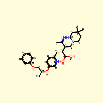 CC(=N)C(CN1CCC(C)(C)CC1)[C@@H](Cc1ccc(O[C@@H](C)COc2ccccc2)cn1)C(O)O